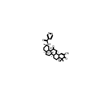 CC1(C)C(=O)C(C#N)=C[C@]2(C)C3=CC(=O)[C@]4(O)[C@@H]5C[C@@](C)(NC(=O)c6ccnnc6)CC[C@]5(C)CC[C@@]4(C)[C@]3(C)CC[C@@H]12